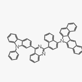 c1ccc(-n2c3ccccc3c3ccc(-c4nc(-c5ccc(-n6c7cc8ccccc8cc7c7c8ccccc8ccc76)c6ccccc56)nc5ccccc45)cc32)cc1